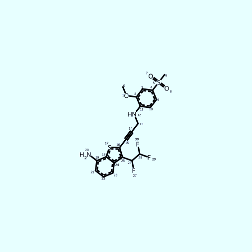 COc1cc(S(C)(=O)=O)ccc1NCC#Cc1sc2c(N)cccc2c1C(F)C(F)F